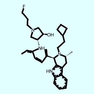 C=C(/C=C\C(=C/C)N[C@@H]1CN(CCCF)C[C@H]1O)[C@@H]1c2[nH]c3ccccc3c2C[C@@H](C)N1CCC1CCC1